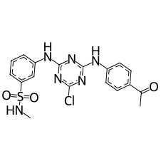 CNS(=O)(=O)c1cccc(Nc2nc(Cl)nc(Nc3ccc(C(C)=O)cc3)n2)c1